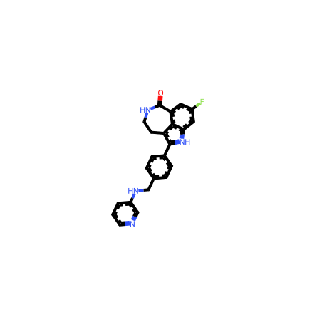 O=C1NCCc2c(-c3ccc(CNc4cccnc4)cc3)[nH]c3cc(F)cc1c23